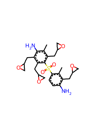 Cc1c(S(=O)(=O)c2c(CC3CO3)c(C)c(N)c(CC3CO3)c2CC2CO2)ccc(N)c1CC1CO1